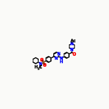 CC(=O)N1CCN(C(=O)c2ccc(Nc3nccc(-c4ccc(S(=O)(=O)N(C)C5CCCCC5)cc4)n3)cc2)CC1